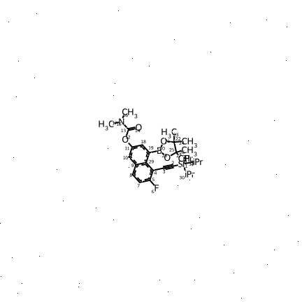 CC(C)[Si](C#Cc1c(F)ccc2cc(OC(=O)N(C)C)cc(B3OC(C)(C)C(C)(C)O3)c12)(C(C)C)C(C)C